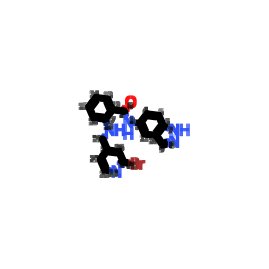 O=C(Nc1ccc2[nH]ncc2c1)c1ccccc1NCc1ccnc(Br)c1